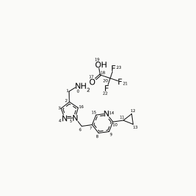 NCc1cnn(Cc2ccc(C3CC3)nc2)c1.O=C(O)C(F)(F)F